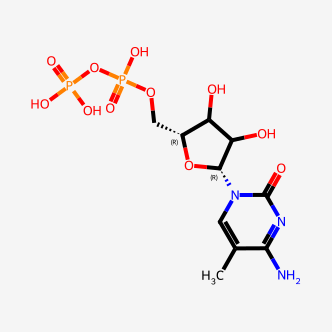 Cc1cn([C@@H]2O[C@H](COP(=O)(O)OP(=O)(O)O)C(O)C2O)c(=O)nc1N